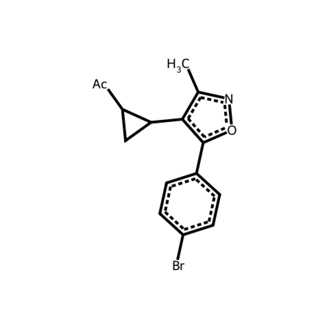 CC(=O)C1CC1c1c(C)noc1-c1ccc(Br)cc1